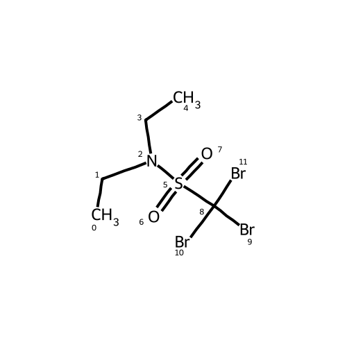 CCN(CC)S(=O)(=O)C(Br)(Br)Br